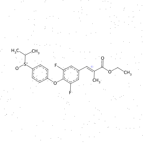 CCOC(=O)/C(C)=C/c1cc(F)c(Oc2ccc([S+]([O-])C(C)C)cc2)c(F)c1